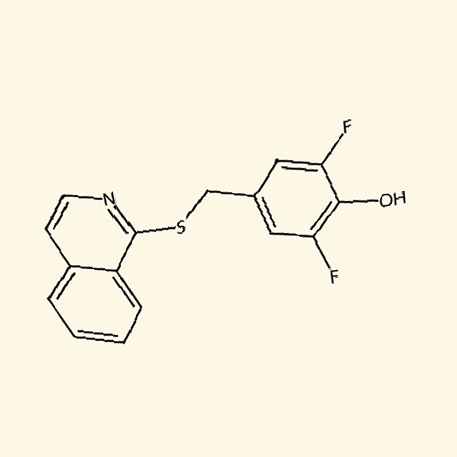 Oc1c(F)cc(CSc2nccc3ccccc23)cc1F